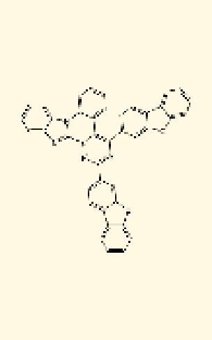 c1ccc2c(c1)nc1c3nc(-c4ccc5c(c4)oc4ccccc45)nc(-c4ccc5c(c4)oc4ccccc45)c3c3ccccc3n21